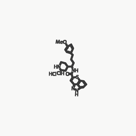 COc1ccc(CCCC(NC(=O)C2=Cc3n[nH]c4cccc(c34)S2)C2CCNCC2)cc1.Cl.Cl